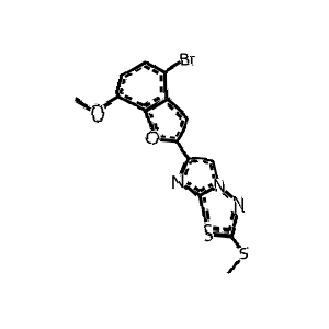 COc1ccc(Br)c2cc(-c3cn4nc(SC)sc4n3)oc12